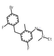 CCN(C)/C=N\c1cc(F)cc(Cc2ccc(Br)cc2F)c1C